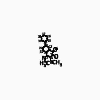 C/C=N\C1=C(CC)C(=O)C(=O)c2cc(-c3ccccc3)ccc21